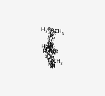 CC(Cn1cnnn1)Oc1cc(-c2cnc(Nc3cn(C4CCC(N5C[C@@H](C)O[C@@H](C)C5)CC4)nc3OCc3ccnn3C)nc2)ccc1C#N